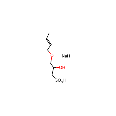 CC=CCOCC(O)CS(=O)(=O)O.[NaH]